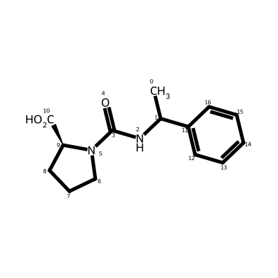 CC(NC(=O)N1CCC[C@H]1C(=O)O)c1ccccc1